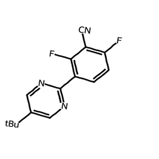 CC(C)(C)c1cnc(-c2ccc(F)c(C#N)c2F)nc1